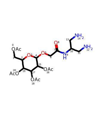 CC(=O)OCC1OC(OCC(=O)NC(CN)CN)C(OC(C)=O)C(OC(C)=O)C1OC(C)=O